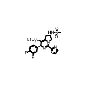 CCOC(=O)C1=C2C[C@H](NS(C)(=O)=O)CN2C(c2nccs2)=N[C@H]1c1ccc(F)c(F)c1